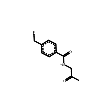 CC(=O)CNC(=O)c1ccc(CF)cc1